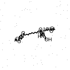 CC(C)(C)OC(=O)NCCCC[C@@H](C(=O)NCCCCCCCCCCC(=O)N1CCN(C(=O)OC(C)(C)C)CC1)n1cc(CCO)nn1